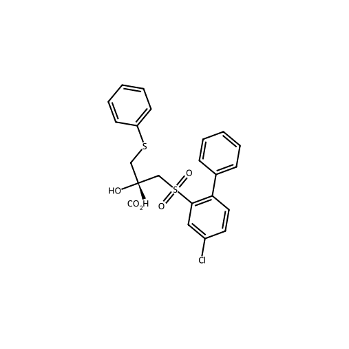 O=C(O)[C@@](O)(CSc1ccccc1)CS(=O)(=O)c1cc(Cl)ccc1-c1ccccc1